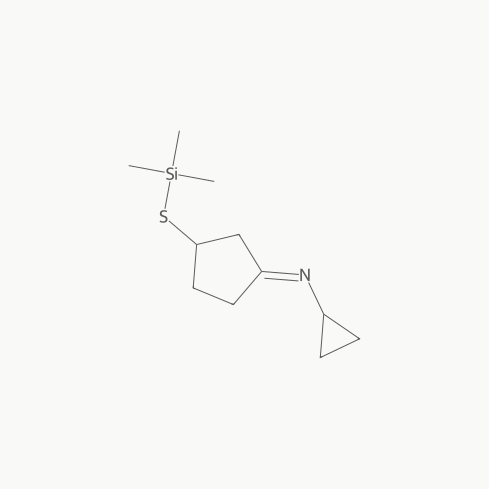 C[Si](C)(C)SC1CCC(=NC2CC2)C1